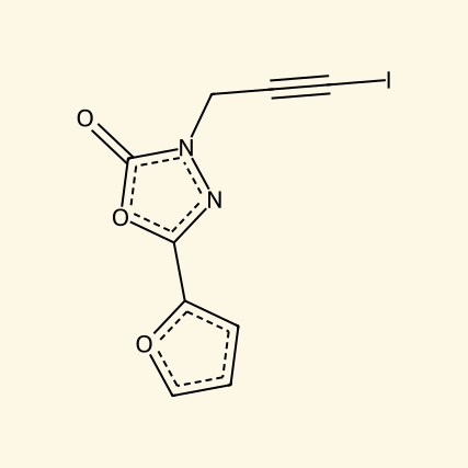 O=c1oc(-c2ccco2)nn1CC#CI